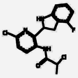 CC(Cl)C(=O)Nc1ccc(Cl)nc1C1Cc2c(F)cccc2N1